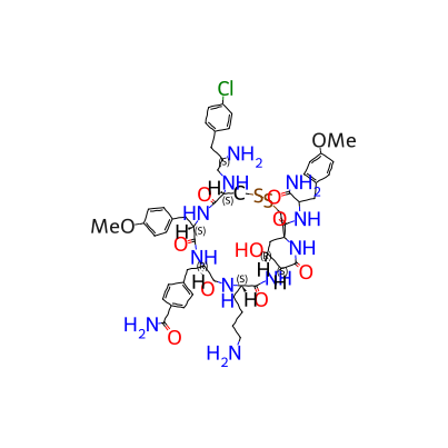 COc1ccc(CC(NC(=O)C23CSSC[C@@H](NC[C@@H](N)Cc4ccc(Cl)cc4)C(=O)N[C@@H](Cc4ccc(OC)cc4)C(=O)N[C@H](Cc4ccc(C(N)=O)cc4)C(=O)N[C@@H](CCCCN)C(=O)N[C@H](C(=O)N2)[C@H](O)C3)C(N)=O)cc1